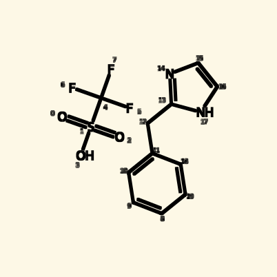 O=S(=O)(O)C(F)(F)F.c1ccc(Cc2ncc[nH]2)cc1